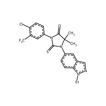 CCn1ncc2cc(N3C(=S)N(c4ccc(Cl)c(C(F)(F)F)c4)C(=O)C3(C)C)ccc21